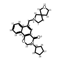 O=C1c2cc(CN3CCC4(CCOC4)C3)c3ccccc3c2OCN1C1CCCC1